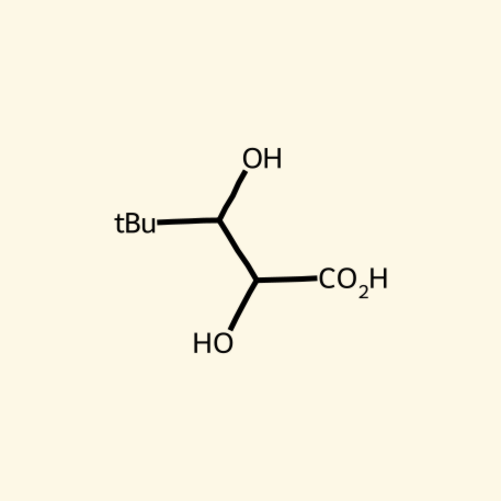 CC(C)(C)C(O)C(O)C(=O)O